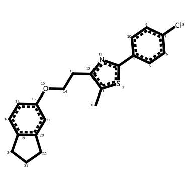 Cc1sc(-c2ccc(Cl)cc2)nc1CCOc1ccc2c(c1)CCC2